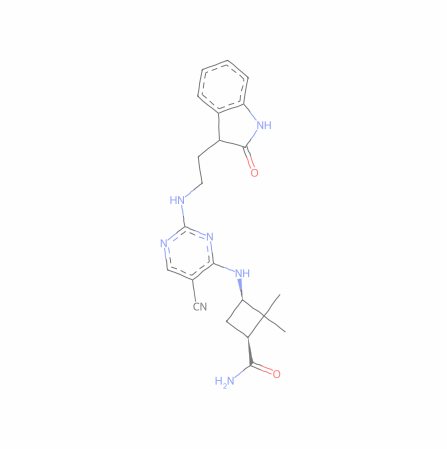 CC1(C)[C@@H](C(N)=O)C[C@H]1Nc1nc(NCCC2C(=O)Nc3ccccc32)ncc1C#N